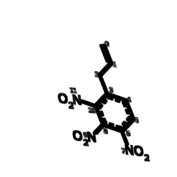 C=CCc1ccc([N+](=O)[O-])c([N+](=O)[O-])c1[N+](=O)[O-]